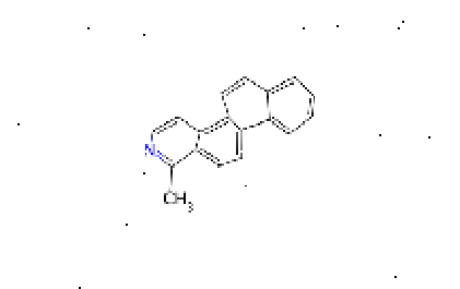 Cc1nccc2c1ccc1c3ccccc3ccc21